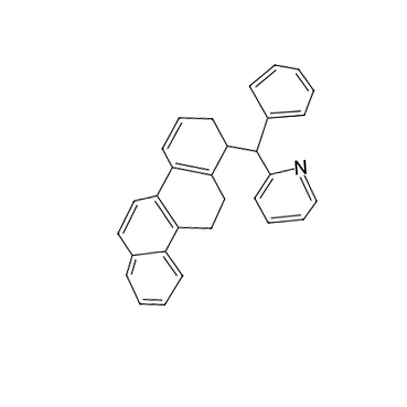 C1=CC2=C(CCc3c2ccc2ccccc32)C(C(c2ccccc2)c2ccccn2)C1